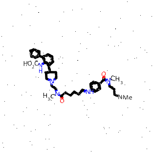 CNCCCN(C)C(=O)c1ccc(NCCCCCC(=O)N(C)CCN2CCC(c3cccc(-c4ccccc4)c3NC(=O)O)CC2)cc1